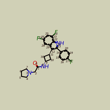 O=C(CN1CCCC1)N[C@H]1C[C@H](c2c(-c3ccc(F)cc3)[nH]c3c(F)cc(F)cc32)C1